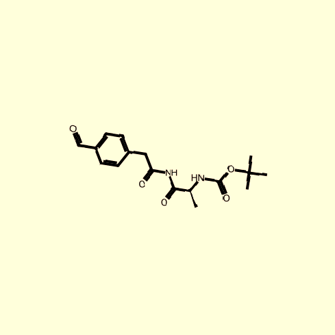 C[C@H](NC(=O)OC(C)(C)C)C(=O)NC(=O)Cc1ccc(C=O)cc1